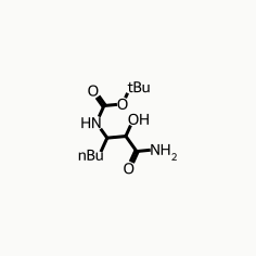 CCCCC(NC(=O)OC(C)(C)C)C(O)C(N)=O